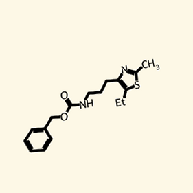 CCc1sc(C)nc1CCCNC(=O)OCc1ccccc1